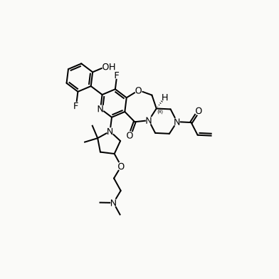 C=CC(=O)N1CCN2C(=O)c3c(N4CC(OCCN(C)C)CC4(C)C)nc(-c4c(O)cccc4F)c(F)c3OC[C@H]2C1